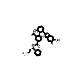 CCC[C@@H](NC(=O)c1ccc([C@@H]2C(c3nc4cc(O)c(F)cc4[nH]3)=CC=CC2Cl)c(C(=O)O)c1)c1ccccc1